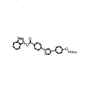 CCCCCCOc1ccc(-c2cnn(-c3ccc(C(=O)On4nnc5ccccc54)cc3)c2)cc1